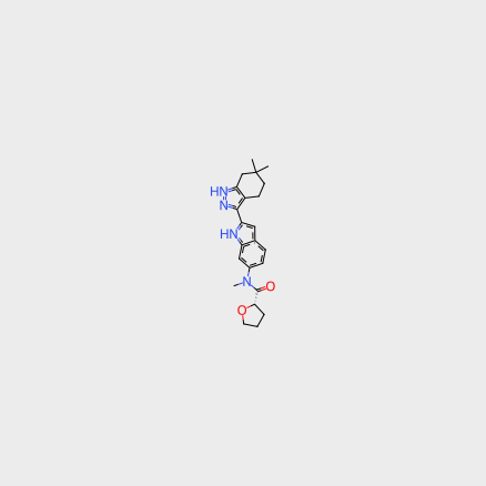 CN(C(=O)[C@@H]1CCCO1)c1ccc2cc(-c3n[nH]c4c3CCC(C)(C)C4)[nH]c2c1